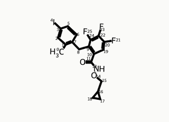 Cc1cc(I)ccc1Cc1c(C(=O)NOCC2CC2)cc(F)c(F)c1F